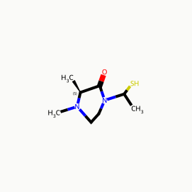 CC(S)N1CCN(C)[C@@H](C)C1=O